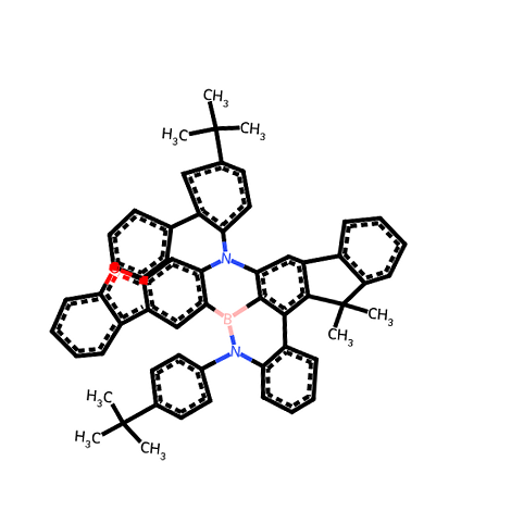 CC(C)(C)c1ccc(N2B3c4cc5c(cc4N(c4ccc(C(C)(C)C)cc4-c4ccccc4)c4cc6c(c(c43)-c3ccccc32)C(C)(C)c2ccccc2-6)oc2ccccc25)cc1